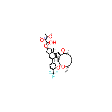 CC[C@H]1CCCC[C@@H](C)C(=O)C2=C[C@@H]3C(C(c4ccc(C(F)(F)F)cc4)=CC4C[C@@H](O[C@H](O)/C(OC)=C(/C)OC)C[C@H]43)[C@@H]2CC(=O)O1